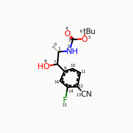 C[C@H](NC(=O)OC(C)(C)C)C(O)c1ccc(C#N)c(F)c1